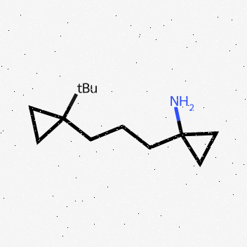 CC(C)(C)C1(CCCC2(N)CC2)CC1